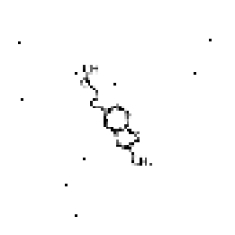 COCOc1ccc2sc(C)cc2c1